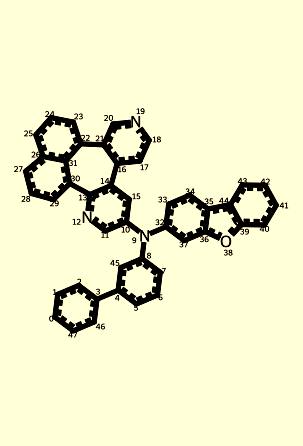 c1ccc(-c2cccc(N(c3cnc4c(c3)-c3ccncc3-c3cccc5cccc-4c35)c3ccc4c(c3)oc3ccccc34)c2)cc1